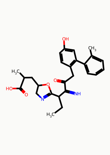 CCC(C(=N)C(=O)Cc1ccc(O)cc1-c1ccccc1C)C1=NCC(CC(C)C(=O)O)O1